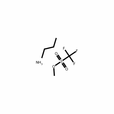 CCCC.COS(=O)(=O)C(F)(F)F.N